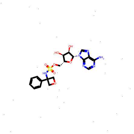 Nc1ncnc2c1ncn2[C@@H]1O[C@H](COS(=O)(=O)NC2(c3ccccc3)COC2)[C@@H](O)[C@H]1O